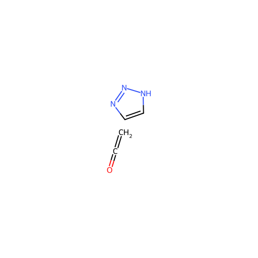 C=C=O.c1c[nH]nn1